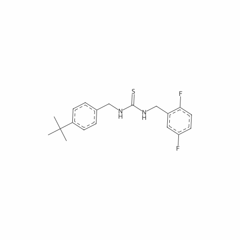 CC(C)(C)c1ccc(CNC(=S)NCc2cc(F)ccc2F)cc1